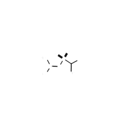 CCCC(C)S(=O)(=O)O[SiH](C)C